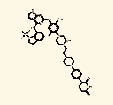 COc1cc(N2CCN(CCC3CCN(c4ccc(C5CCC(=O)NC5=O)cc4)CC3)[C@H](C)C2)c(C)cc1Nc1nc(Nc2cccc3c2N(S(C)(=O)=O)CC3)c2cc[nH]c2n1